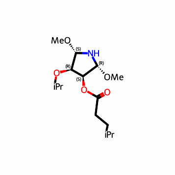 CO[C@H]1N[C@@H](OC)[C@H](OC(C)C)[C@@H]1OC(=O)CCC(C)C